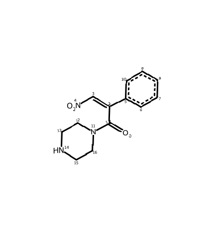 O=C(C(=C[N+](=O)[O-])c1ccccc1)N1CCNCC1